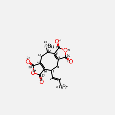 CCCC=CC1CC2=C(C(=O)OC2=O)C(CCCC)CC2=C1C(=O)OC2=O